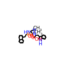 CC(C)CC(N[PH](=O)CCc1cccc2ccccc12)C(=O)NC(Cc1c[nH]c2ccccc12)C(=O)O